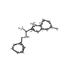 NC(NCc1ccccc1)c1cc2cc(Br)ccc2[nH]1